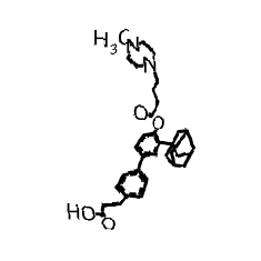 CN1CCN(CCCC(=O)Oc2ccc(-c3ccc(C=CC(=O)O)cc3)cc2C23CC4CC(CC(C4)C2)C3)CC1